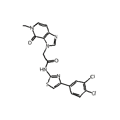 Cn1ccc2ncn(CC(=O)Nc3nc(-c4ccc(Cl)c(Cl)c4)cs3)c2c1=O